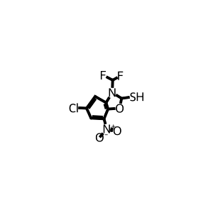 O=[N+]([O-])c1cc(Cl)cc2c1OC(S)N2C(F)F